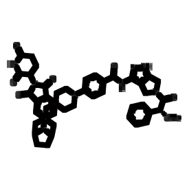 CO[C@@H](C(=O)N1Cc2[nH]nc(NC(=O)c3ccc(N4CCC(CN5CC6CCC(C5)N6c5ccc6c(c5)C(=O)N(C5CCC(=O)NC5=O)C6=O)CC4)cc3)c2C1)c1ccccc1